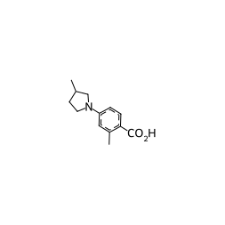 Cc1cc(N2CCC(C)C2)ccc1C(=O)O